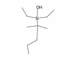 CCCC(C)(C)[Si](O)(CC)CC